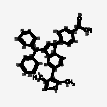 Cc1noc(C)c1-c1cnc2c(c1)c(C(c1ccccc1)c1ccccc1)cn2-c1ccc(C(=O)O)cn1